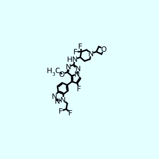 COc1nc(NC2CCN(C3COC3)CC2(F)F)nn2cc(F)c(-c3ccc4nnn(CC(F)F)c4c3)c12